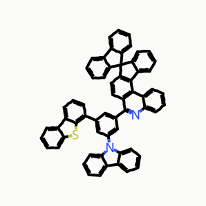 c1ccc2c(c1)-c1ccccc1C21c2ccccc2-c2c1ccc1c(-c3cc(-c4cccc5c4sc4ccccc45)cc(-n4c5ccccc5c5ccccc54)c3)nc3ccccc3c21